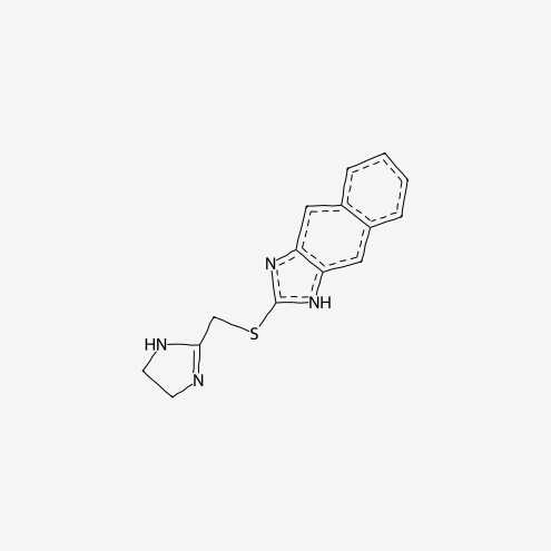 c1ccc2cc3[nH]c(SCC4=NCCN4)nc3cc2c1